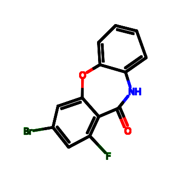 O=C1Nc2ccccc2Oc2cc(Br)cc(F)c21